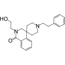 O=C1c2ccccc2C2(CCN(CCc3ccccc3)CC2)CN1CCO